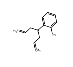 C=CCN(CC=C)c1ccccc1C#N